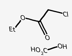 CCOC(=O)CCl.O=C(O)O